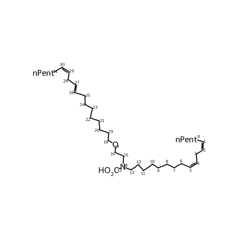 CCCCC/C=C\C/C=C\CCCCCCCCN(CCOCCCCCCCC/C=C/C/C=C\CCCCC)C(=O)O